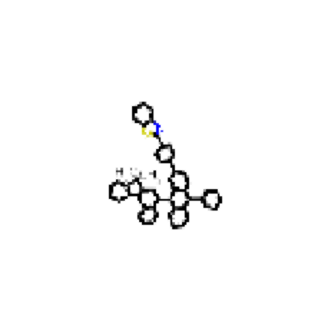 CC1(C)c2ccccc2-c2c1cc(-c1c3ccccc3c(-c3ccccc3)c3ccc(-c4ccc(-c5nc6ccccc6s5)cc4)cc13)c1ccccc21